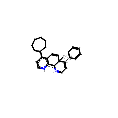 CC12C=Cc3c(C4CCCCCC4)ccnc3C1N=CC=C2[C@H]1C=CC=CC1